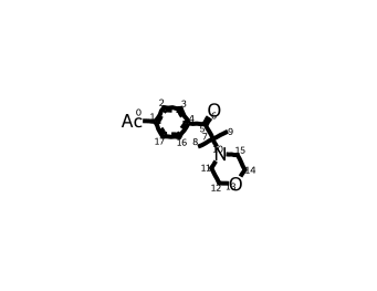 CC(=O)c1ccc(C(=O)C(C)(C)N2CCOCC2)cc1